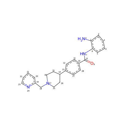 Nc1ccccc1NC(=O)c1ccc(C2CCN(Cc3ccccn3)CC2)cc1